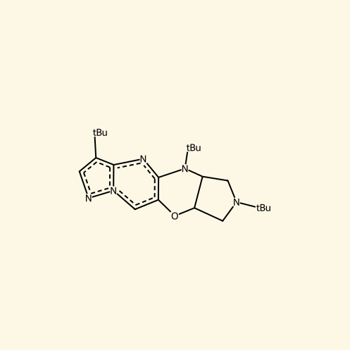 CC(C)(C)c1cnn2cc3c(nc12)N(C(C)(C)C)C1CN(C(C)(C)C)CC1O3